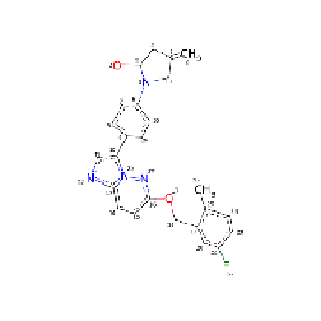 C=C1CC(=O)N(c2ccc(-c3cnc4ccc(OCc5cc(F)ccc5C)nn34)cc2)C1